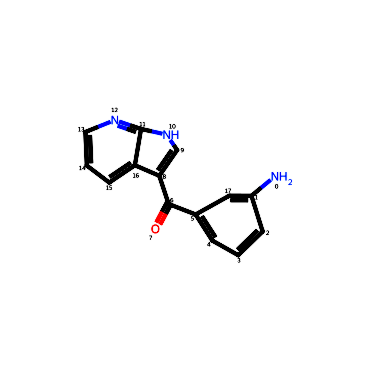 Nc1cccc(C(=O)c2c[nH]c3ncccc23)c1